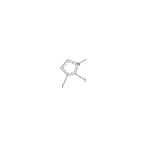 Cn1ccc(I)c1I